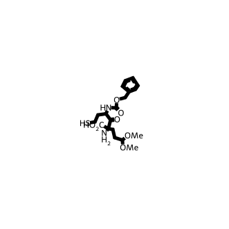 COC(CCC(N)(C(=O)O)C(=O)C(CCS)NC(=O)OCc1ccccc1)OC